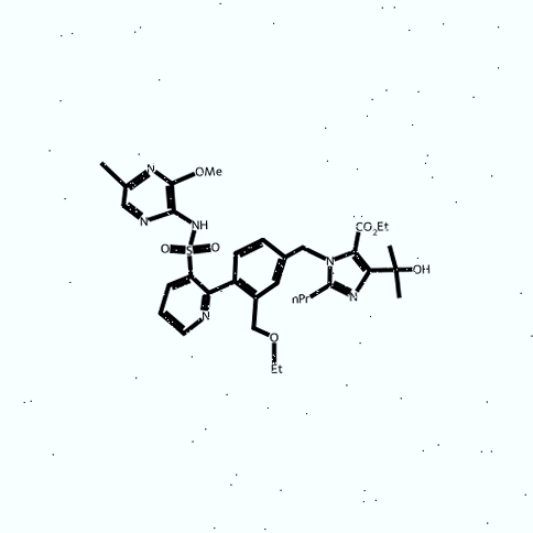 CCCc1nc(C(C)(C)O)c(C(=O)OCC)n1Cc1ccc(-c2ncccc2S(=O)(=O)Nc2ncc(C)nc2OC)c(COCC)c1